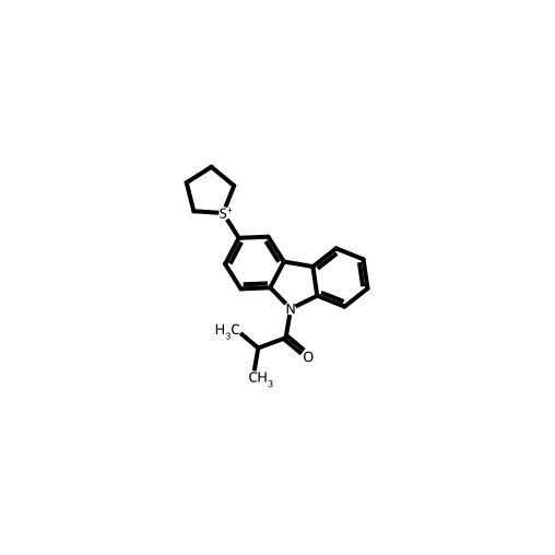 CC(C)C(=O)n1c2ccccc2c2cc([S+]3CCCC3)ccc21